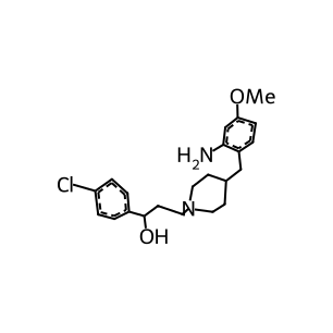 COc1ccc(CC2CCN(CCC(O)c3ccc(Cl)cc3)CC2)c(N)c1